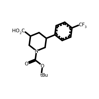 CC(C)(C)OC(=O)N1CC(C(=O)O)CC(c2ccc(C(F)(F)F)cc2)C1